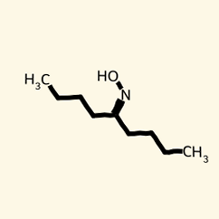 CCCCC(CCCC)=NO